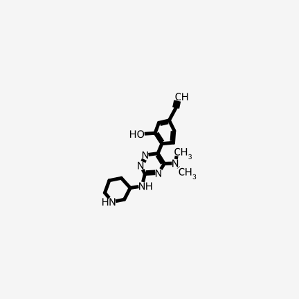 C#Cc1ccc(-c2nnc(NC3CCCNC3)nc2N(C)C)c(O)c1